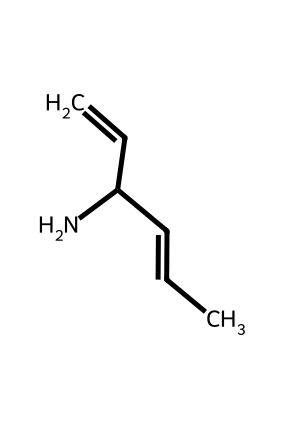 C=CC(N)C=CC